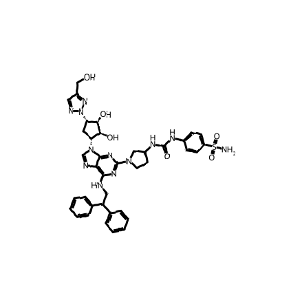 NS(=O)(=O)c1ccc(NC(=O)NC2CCN(c3nc(NCC(c4ccccc4)c4ccccc4)c4ncn([C@@H]5C[C@H](n6ncc(CO)n6)[C@@H](O)[C@H]5O)c4n3)C2)cc1